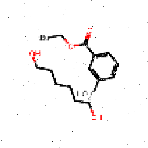 CC(C)(C)COC(=O)c1cccc(C(=O)O)c1.OCCCCCCO